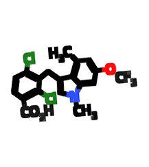 Cc1cc(OC(F)(F)F)cc2c1c(Cc1c(Cl)ccc(C(=O)O)c1Cl)cn2C